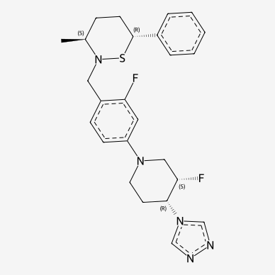 C[C@H]1CC[C@H](c2ccccc2)SN1Cc1ccc(N2CC[C@@H](n3cnnc3)[C@@H](F)C2)cc1F